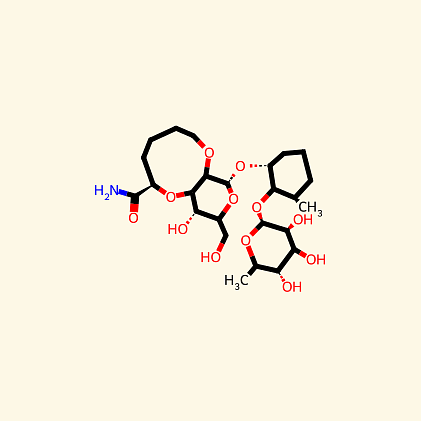 CC1O[C@@H](OC2[C@H](C)CCC[C@H]2O[C@@H]2OC(CO)[C@H](O)C3O[C@@H](C(N)=O)CCCCOC32)[C@@H](O)C(O)[C@@H]1O